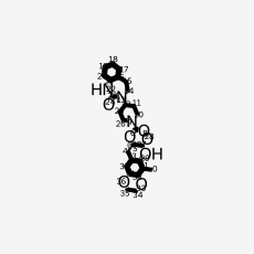 Cc1cc(C[C@@H](OC(=O)N2CCC(N3CCc4ccccc4NC3=O)CC2)C(=O)O)cc2c1OCCO2